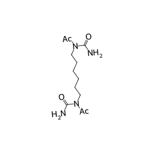 [CH2]C(=O)N(CCCCCCN(C([CH2])=O)C(N)=O)C(N)=O